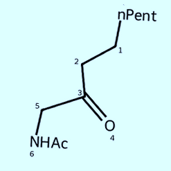 CCCCCCCC(=O)CNC(C)=O